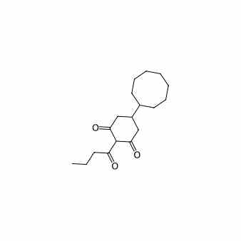 CCCC(=O)C1C(=O)CC(C2CCCCCCC2)CC1=O